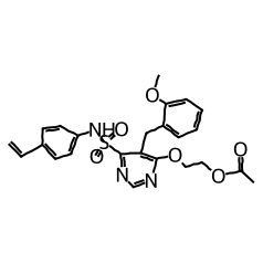 C=Cc1ccc(NS(=O)(=O)c2ncnc(OCCOC(C)=O)c2Cc2ccccc2OC)cc1